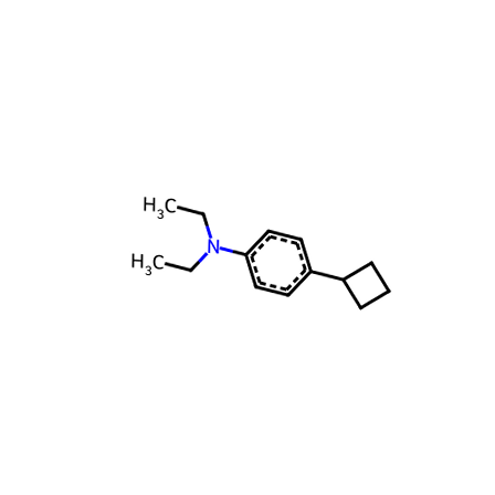 CCN(CC)c1ccc(C2CCC2)cc1